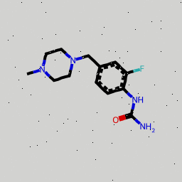 CN1CCN(Cc2ccc(NC(N)=O)c(F)c2)CC1